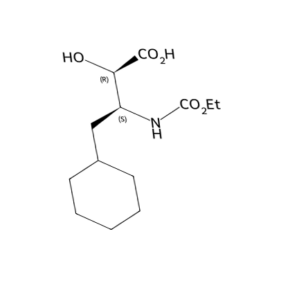 CCOC(=O)N[C@@H](CC1CCCCC1)[C@@H](O)C(=O)O